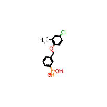 Cc1cc(Cl)ccc1OCc1cccc([PH](=O)O)c1